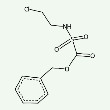 O=C(OCc1ccccc1)S(=O)(=O)NCCCl